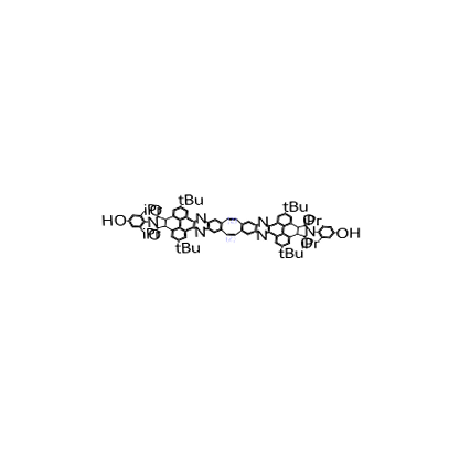 CC(C)c1cc(O)cc(C(C)C)c1N1C(=O)C2c3cc(C(C)(C)C)cc4c5nc6cc7c(cc6nc5c5cc(C(C)(C)C)cc(c5c34)C2C1=O)/C=C\c1cc2nc3c4cc(C(C)(C)C)cc5c4c4c(cc(C(C)(C)C)cc4c3nc2cc1/C=C\7)C1C(=O)N(c2c(C(C)C)cc(O)cc2C(C)C)C(=O)C51